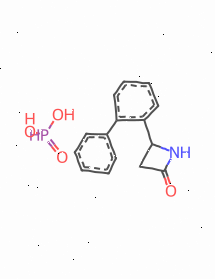 O=C1CC(c2ccccc2-c2ccccc2)N1.O=[PH](O)O